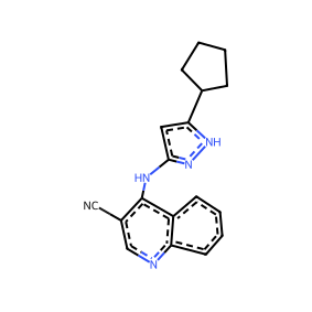 N#Cc1cnc2ccccc2c1Nc1cc(C2CCCC2)[nH]n1